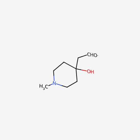 CN1CCC(O)(C[C]=O)CC1